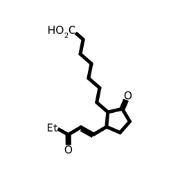 CCC(=O)C=CC1CCC(=O)C1CCCCCCC(=O)O